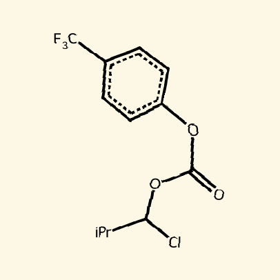 CC(C)C(Cl)OC(=O)Oc1ccc(C(F)(F)F)cc1